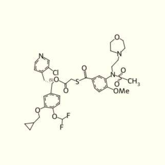 COc1ccc(C(=O)SCC(=O)O[C@@H](Cc2ccncc2Cl)c2ccc(OC(F)F)c(OCC3CC3)c2)cc1N(CCN1CCOCC1)S(C)(=O)=O